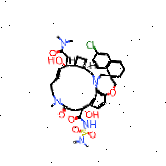 CN(C)C(=O)C[C@@]1(O)/C=C/CCN(C)C(=O)C[C@](O)(C(=O)NS(=O)(=O)N(C)C)c2ccc3c(c2)N(C[C@@H]2CC[C@H]21)C[C@@]1(CCCc2cc(Cl)ccc21)CO3